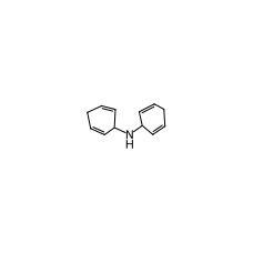 C1=CC(NC2C=CCC=C2)C=CC1